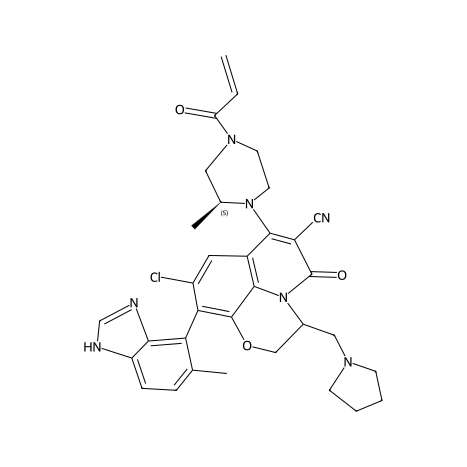 C=CC(=O)N1CCN(c2c(C#N)c(=O)n3c4c(c(-c5c(C)ccc6[nH]cnc56)c(Cl)cc24)OCC3CN2CCCC2)[C@@H](C)C1